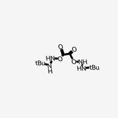 CC(C)(C)NNOC(=O)C(=O)ONNC(C)(C)C